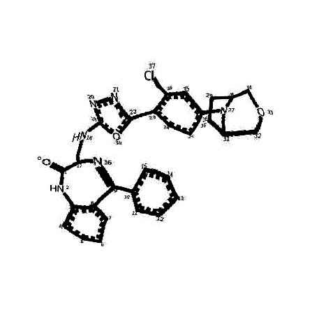 O=C1Nc2ccccc2C(c2ccccc2)=NC1Nc1nnc(-c2ccc(N3C4CCC3COC4)cc2Cl)o1